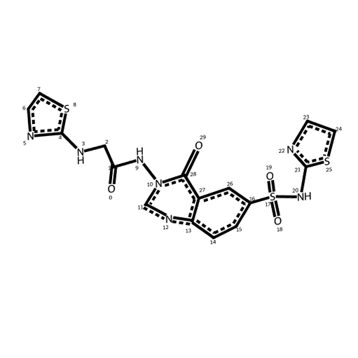 O=C(CNc1nccs1)Nn1cnc2ccc(S(=O)(=O)Nc3nccs3)cc2c1=O